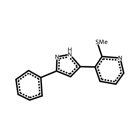 CSc1ncccc1-c1cc(-c2ccccc2)n[nH]1